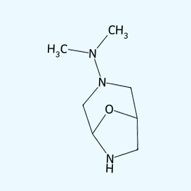 CN(C)N1CC2CNC(C1)O2